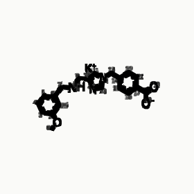 COc1cccc(CNCc2cn(Cc3ccc(C(=O)[O-])cc3)cn2)c1.[K+]